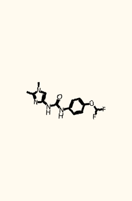 Cc1nc(NC(=O)Nc2ccc(OC(F)F)cc2)cn1C